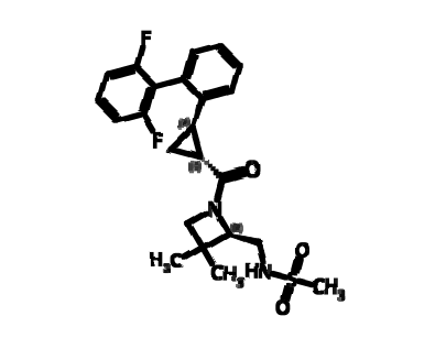 CC1(C)CN(C(=O)[C@@H]2C[C@H]2c2ccccc2-c2c(F)cccc2F)[C@H]1CNS(C)(=O)=O